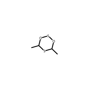 CC1OSOC(C)S1